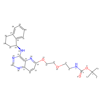 CC(C)(C)OC(=O)NCCOCCOc1ccc2ncnc(N[C@H]3CCCc4ccccc43)c2n1